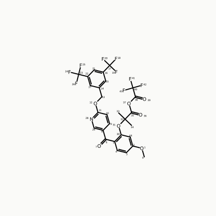 COc1ccc(C(=O)c2ccc(OCc3cc(C(F)(F)F)cc(C(F)(F)F)c3)nc2)c(OC(C)(C)C(=O)OC(=O)C(F)(F)F)c1